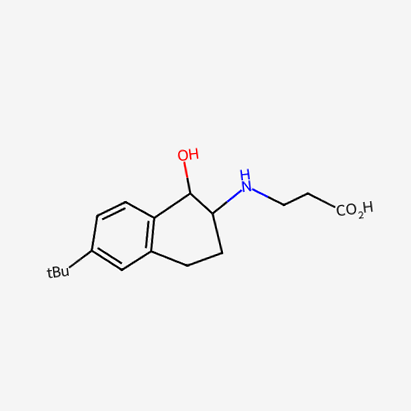 CC(C)(C)c1ccc2c(c1)CCC(NCCC(=O)O)C2O